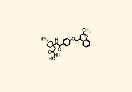 Cc1cc(COc2ccc(C(=O)NC3(CC(=O)NO)CCN(C(C)C)C3)cc2)c2ccccc2n1